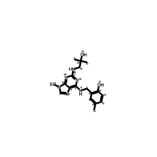 CCn1cnc2c(NCc3cc(C)ccc3O)nc(NCC(C)(C)O)nc21